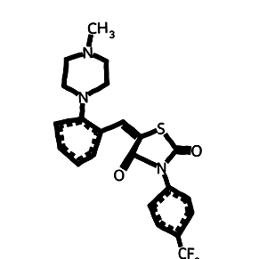 CN1CCN(c2ccccc2C=C2SC(=O)N(c3ccc(C(F)(F)F)cc3)C2=O)CC1